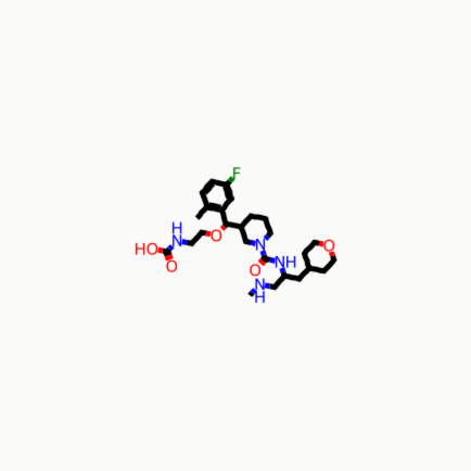 CNCC(CC1CCOCC1)NC(=O)N1CCCC(C(OCCNC(=O)O)c2cc(F)ccc2C)C1